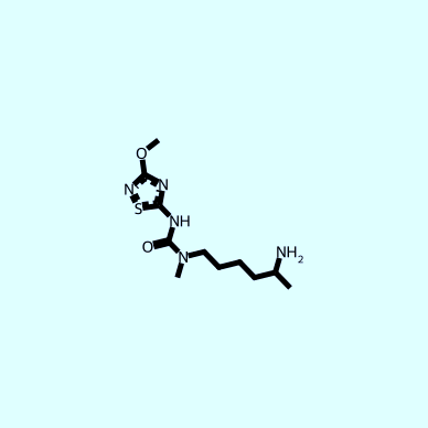 COc1nsc(NC(=O)N(C)CCCCC(C)N)n1